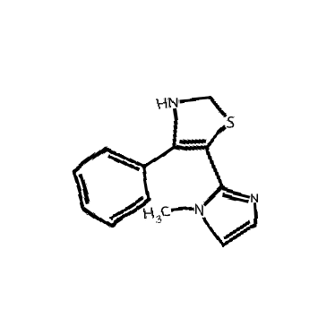 Cn1ccnc1C1=C(c2ccccc2)NCS1